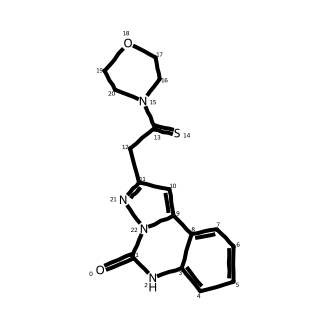 O=c1[nH]c2ccccc2c2cc(CC(=S)N3CCOCC3)nn12